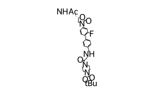 CC(=O)NC[C@H]1CN(c2ccc(-c3ccc(CNCC(=O)N4CCN(C(=O)OC(C)(C)C)CC4)cc3)c(F)c2)C(=O)O1